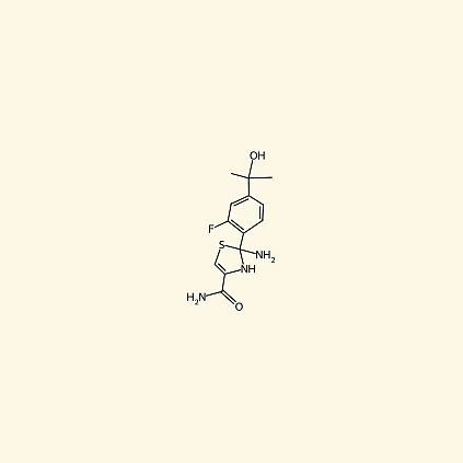 CC(C)(O)c1ccc(C2(N)NC(C(N)=O)=CS2)c(F)c1